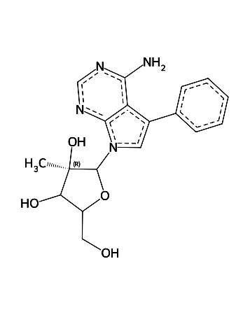 C[C@@]1(O)C(O)C(CO)OC1n1cc(-c2ccccc2)c2c(N)ncnc21